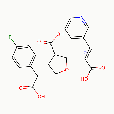 O=C(O)/C=C/c1cccnc1.O=C(O)C1CCOC1.O=C(O)Cc1ccc(F)cc1